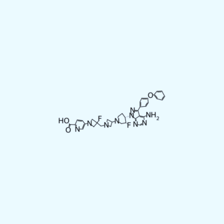 Nc1ncnc2c1c(-c1ccc(Oc3ccccc3)cc1)nn2[C@H]1CCN(C2CN(CC3(F)CN(c4ccc(C(=O)O)nc4)C3)C2)C[C@H]1F